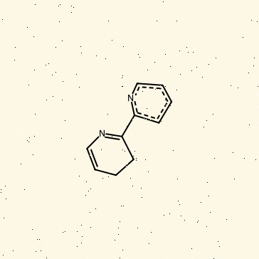 [C]1CC=CN=C1c1ccccn1